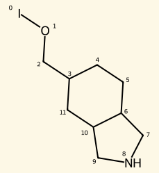 IOCC1CCC2CNCC2C1